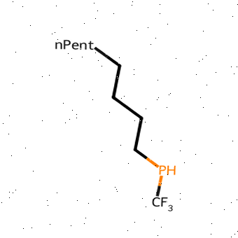 CCCCCCCCCPC(F)(F)F